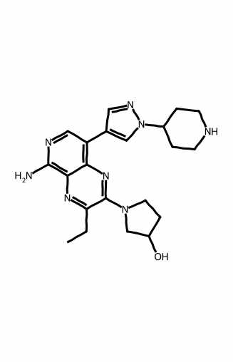 CCc1nc2c(N)ncc(-c3cnn(C4CCNCC4)c3)c2nc1N1CCC(O)C1